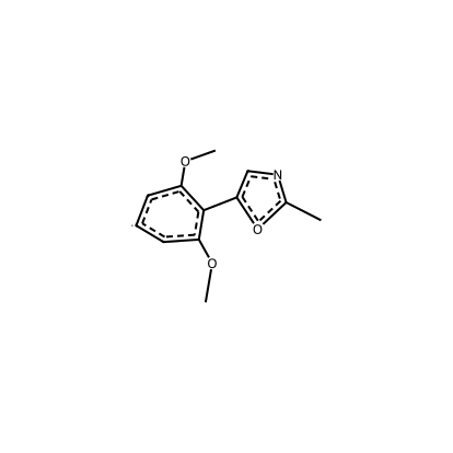 COc1c[c]cc(OC)c1-c1cnc(C)o1